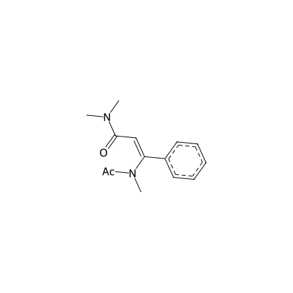 CC(=O)N(C)C(=CC(=O)N(C)C)c1ccccc1